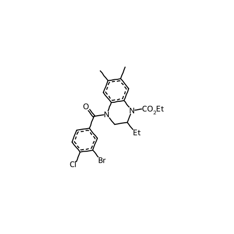 CCOC(=O)N1c2cc(C)c(C)cc2N(C(=O)c2ccc(Cl)c(Br)c2)CC1CC